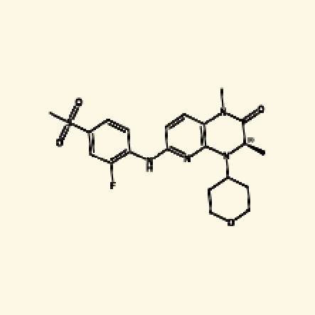 C[C@@H]1C(=O)N(C)c2ccc(Nc3ccc(S(C)(=O)=O)cc3F)nc2N1C1CCOCC1